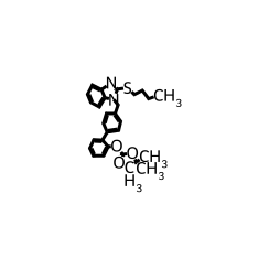 CCCCSc1nc2ccccc2n1Cc1ccc(-c2ccccc2OC(=O)OC(C)(C)C)cc1